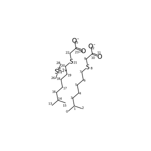 CC(C)CCCCCSCC(=O)[O-].CC(C)CCCCCSCC(=O)[O-].[CH3][Sn+2][CH3]